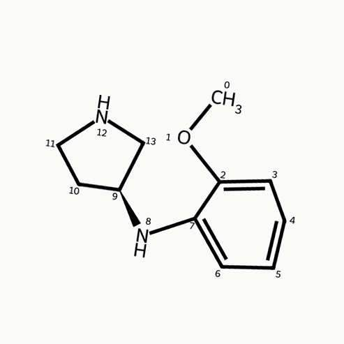 COc1ccccc1N[C@H]1CCNC1